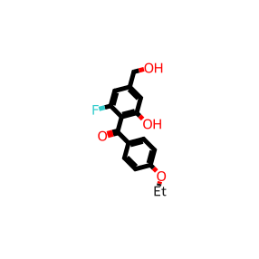 CCOc1ccc(C(=O)c2c(O)cc(CO)cc2F)cc1